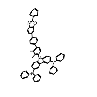 Cc1c(-c2ccc(-c3ccc4nc(-c5ccccc5)oc4c3)cc2)ccc(-n2c3ccc(N(c4ccccc4)c4ccccc4)cc3c3cc(N(c4ccccc4)c4ccccc4)ccc32)c1C